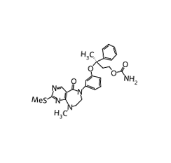 CSc1ncc2c(n1)N(C)CCN(c1cccc(O[C@](C)(CCOC(N)=O)c3ccccc3)c1)C2=O